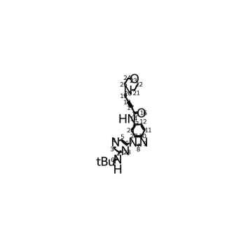 CC(C)(C)Nc1cncc(-n2cnc3ccc(NC(=O)C#CCN4CCOCC4)cc32)n1